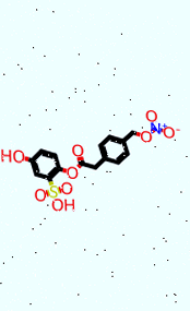 O=C(Cc1ccc(CO[N+](=O)[O-])cc1)Oc1ccc(O)cc1S(=O)(=O)O